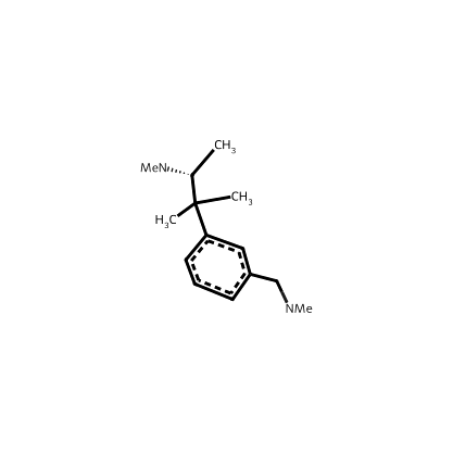 CNCc1cccc(C(C)(C)[C@@H](C)NC)c1